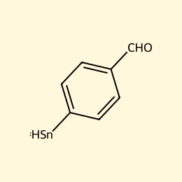 O=Cc1cc[c]([SnH])cc1